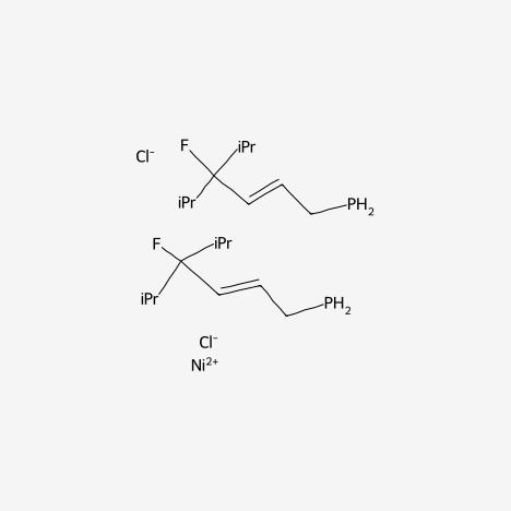 CC(C)C(F)(C=CCP)C(C)C.CC(C)C(F)(C=CCP)C(C)C.[Cl-].[Cl-].[Ni+2]